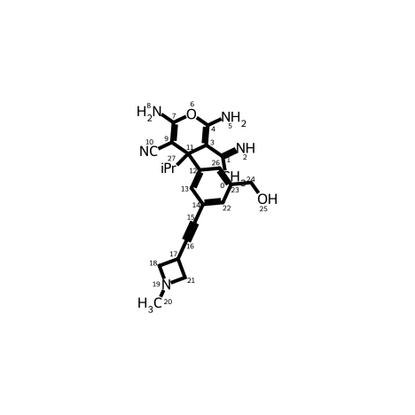 CC(=N)C1=C(N)OC(N)=C(C#N)C1(c1cc(C#CC2CN(C)C2)cc(CO)c1)C(C)C